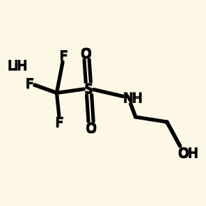 O=S(=O)(NCCO)C(F)(F)F.[LiH]